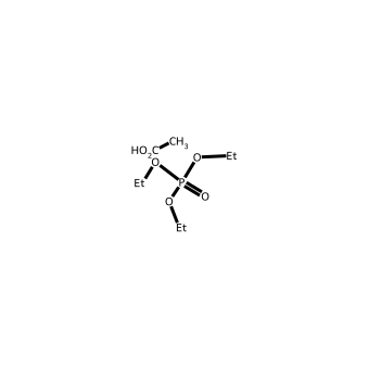 CC(=O)O.CCOP(=O)(OCC)OCC